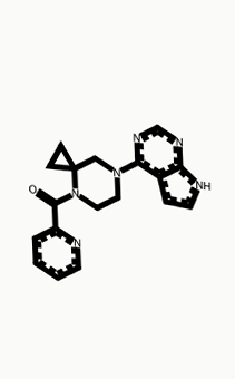 O=C(c1ccccn1)N1CCN(c2ncnc3[nH]ccc23)CC12CC2